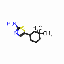 CC1(C)CCCC(c2cnc(N)s2)C1